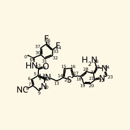 C[C@H](NC(=O)c1cc(C#N)cnc1NCc1ccc(-c2ccc3ncnc(N)c3c2)s1)c1ccc(F)c(F)c1